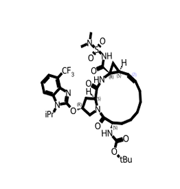 CC(C)n1c(O[C@@H]2C[C@H]3C(=O)N[C@]4(C(=O)NS(=O)(=O)N(C)C)C[C@H]4/C=C\CCCCC[C@H](NC(=O)OC(C)(C)C)C(=O)N3C2)nc2c(C(F)(F)F)cccc21